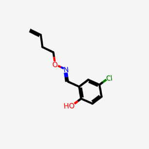 C=CCCON=Cc1cc(Cl)ccc1O